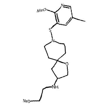 COCCNC1COC2(CCN(Sc3cc(C)cnc3OC)CC2)C1